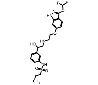 CCCS(=O)(=O)Nc1cccc(C(O)CNCCOc2ccc3c(OC(F)F)n[nH]c3c2)c1